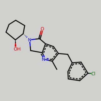 Cc1nc2c(cc1Cc1cccc(Cl)c1)C(=O)N([C@H]1CCCC[C@@H]1O)C2